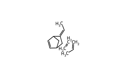 C/C=C1/CC2C=CC1C2.C=C.C=CC